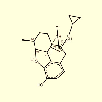 C[C@H]1CC[C@@]2(O)[C@H]3Cc4ccc(O)c5c4[C@@]2(CC[N+]3([O-])CC2CC2)[C@H]1O5